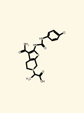 CC(C(=O)O)N1CCc2c(sc(NC(=O)Nc3ccc(Cl)cc3)c2C(N)=O)C1